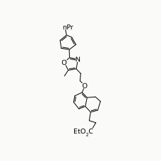 CCCc1ccc(-c2nc(CCOc3cccc4c3CCC=C4CCC(=O)OCC)c(C)o2)cc1